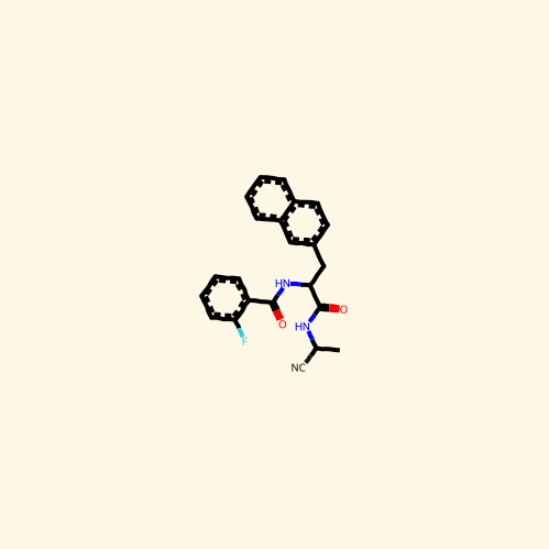 CC(C#N)NC(=O)C(Cc1ccc2ccccc2c1)NC(=O)c1ccccc1F